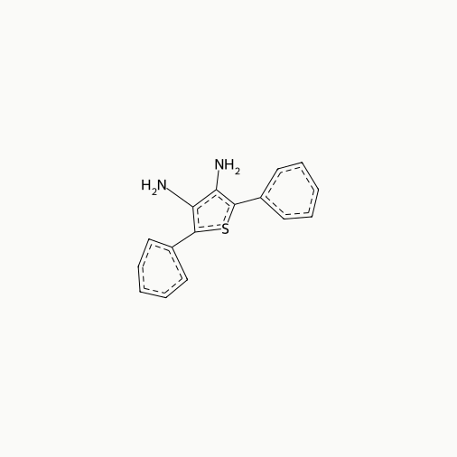 Nc1c(-c2ccccc2)sc(-c2ccccc2)c1N